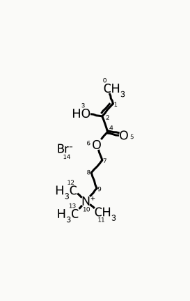 CC=C(O)C(=O)OCCC[N+](C)(C)C.[Br-]